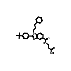 CC(C)(C)c1ccc(-c2nc3cc(C(=O)NCCC(=O)O)ccc3n2CCCc2ccccc2)cc1